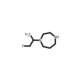 CC(CF)N1CCCNCC1